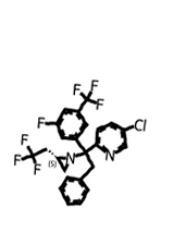 Fc1cc(C(F)(F)F)cc(C(Cc2ccccc2)(c2ccc(Cl)cn2)N2C[C@@H]2CC(F)(F)F)c1